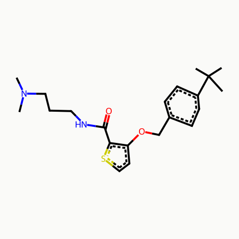 CN(C)CCCNC(=O)c1sccc1OCc1ccc(C(C)(C)C)cc1